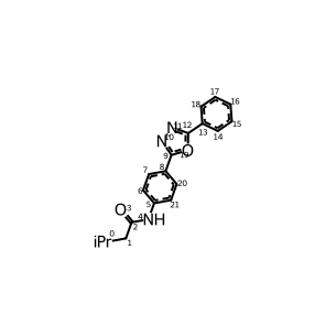 CC(C)CC(=O)Nc1ccc(-c2nnc(-c3ccccc3)o2)cc1